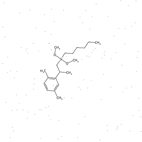 CCCCCC[Si](CC(C)c1cc(C)ccc1C)(OC)OC